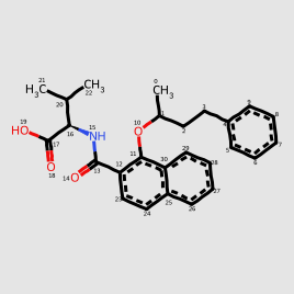 CC(CCc1ccccc1)Oc1c(C(=O)N[C@@H](C(=O)O)C(C)C)ccc2ccccc12